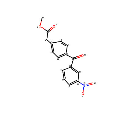 COC(=O)Cc1ccc(C(=O)c2cccc([N+](=O)[O-])c2)cc1